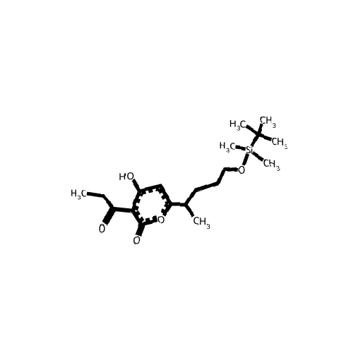 CCC(=O)c1c(O)cc(C(C)CCCO[Si](C)(C)C(C)(C)C)oc1=O